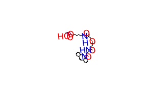 CCP(=O)(O)OCCCCCCNC(=O)C(C)(C)CCOC(C)(C)CCC(=O)NCCC(=O)N1Cc2ccccc2C#Cc2ccccc21